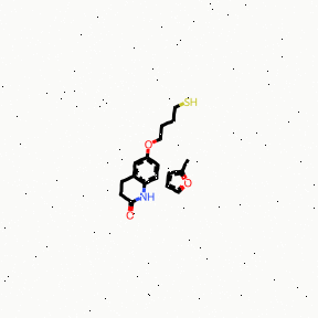 Cc1ccco1.O=C1CCc2cc(OCCCCS)ccc2N1